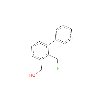 OCc1cccc(-c2ccccc2)c1CF